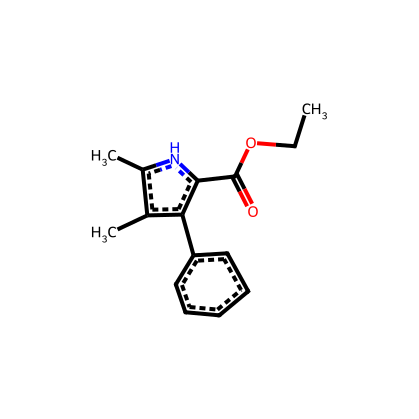 CCOC(=O)c1[nH]c(C)c(C)c1-c1ccccc1